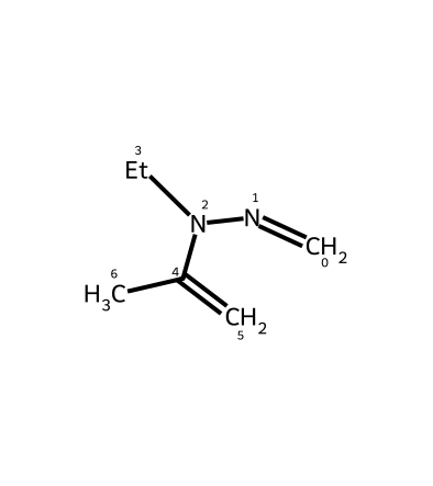 C=NN(CC)C(=C)C